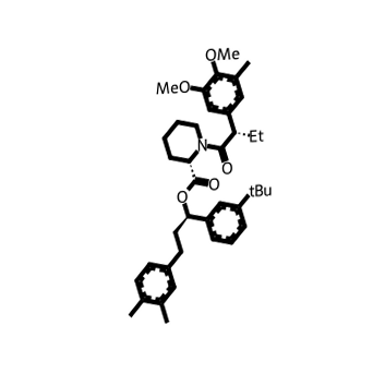 CC[C@H](C(=O)N1CCCC[C@H]1C(=O)O[C@H](CCc1ccc(C)c(C)c1)c1cccc(C(C)(C)C)c1)c1cc(C)c(OC)c(OC)c1